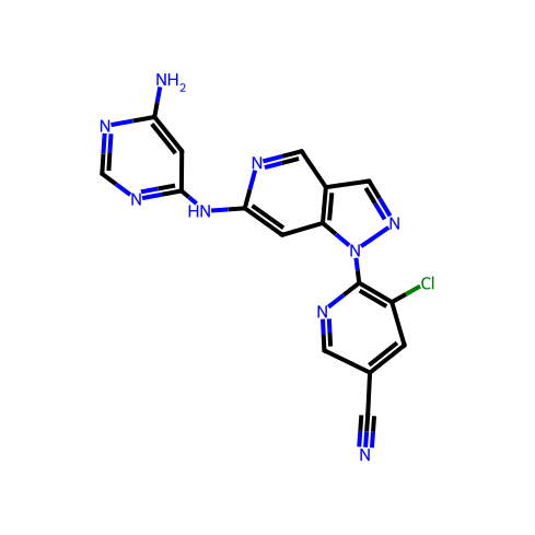 N#Cc1cnc(-n2ncc3cnc(Nc4cc(N)ncn4)cc32)c(Cl)c1